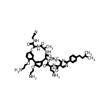 Cc1nc(-c2ccc(CCC(C)C)cc2)ncc1C(=O)NC(CCN)C(=O)N(C)C1C(=O)NC(C)C(=O)NC(C(=O)NCC#N)Cc2ccc(OCCN)c(c2)-c2cc1ccc2OCCN